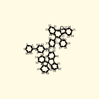 c1ccc(-c2ccc(N(c3ccc(-c4c(-c5ccccc5)c5c6ccccc6oc5c5ccccc45)cc3)c3ccc4c(c3)C(c3ccccc3)(c3ccccc3)c3ccccc3-4)cc2)cc1